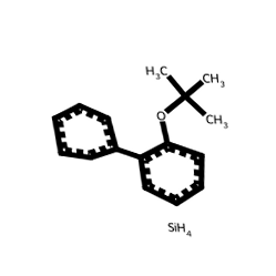 CC(C)(C)Oc1ccccc1-c1ccccc1.[SiH4]